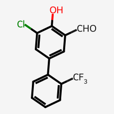 O=Cc1cc(-c2ccccc2C(F)(F)F)cc(Cl)c1O